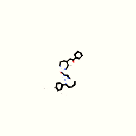 COc1ccc(/C2=C/C=C\CCc3cc(C(=O)N4C[C@@H](C)CC(CC(=O)c5ccccc5)[C@@H](C)C4)nn32)cc1OC